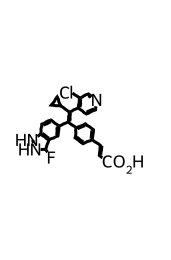 O=C(O)/C=C/c1ccc(/C(=C(\c2ccncc2Cl)C2CC2)c2ccc3c(c2)C(F)NN3)cc1